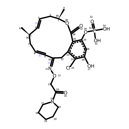 C[C@@H]1C/C=C/[C@H](C)C/C=C/C(=N/OCC(=O)N2CCCCC2)Cc2c(Cl)c(O)cc(OP(=O)(O)O)c2C(=O)O1